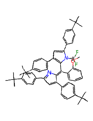 COc1ccccc1/C(=C1/N=C(c2ccc(C(C)(C)C)cc2)C=C1c1ccc(C(C)(C)C)cc1)c1c(-c2ccc(C(C)(C)C)cc2)cc(-c2ccc(C(C)(C)C)cc2)n1B(F)F